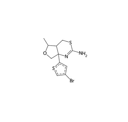 CC1OCC2(c3cc(Br)cs3)N=C(N)SCC12